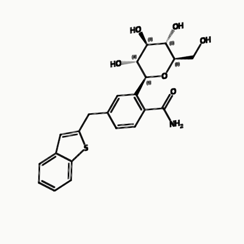 NC(=O)c1ccc(Cc2cc3ccccc3s2)cc1[C@@H]1O[C@H](CO)[C@@H](O)[C@H](O)[C@H]1O